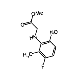 COC(=O)CNc1c(N=O)ccc(F)c1C